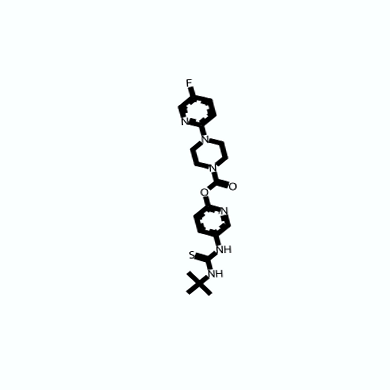 CC(C)(C)NC(=S)Nc1ccc(OC(=O)N2CCN(c3ccc(F)cn3)CC2)nc1